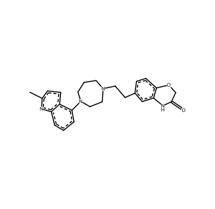 Cc1ccc2c(N3CCCN(CCc4ccc5c(c4)NC(=O)CO5)CC3)cccc2n1